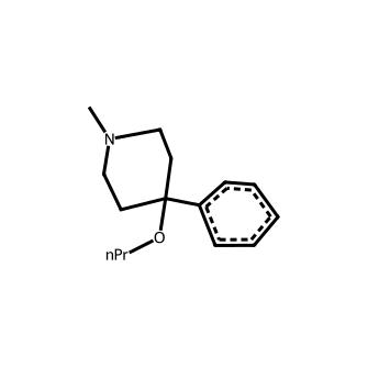 CCCOC1(c2ccccc2)CCN(C)CC1